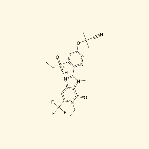 CCn1c(C(F)(F)F)cc2nc(-c3ncc(OC(C)(C)C#N)cc3[S@@](=N)(=O)CC)n(C)c2c1=O